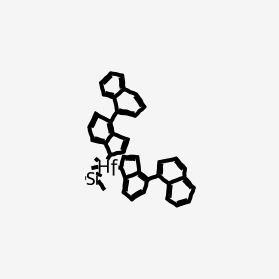 C[Si](C)=[Hf]([CH3])([CH3])([CH]1C=Cc2c(-c3cccc4ccccc34)cccc21)[CH]1C=Cc2c(-c3cccc4ccccc34)cccc21